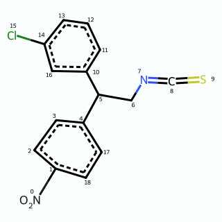 O=[N+]([O-])c1ccc(C(CN=C=S)c2cccc(Cl)c2)cc1